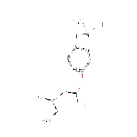 CC(CC(C)Oc1ccc2c(c1)OC(C)(C)C2)CC(C)(C)C